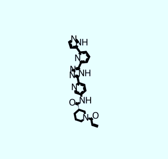 C=CC(=O)N1CCC[C@H](C(=O)Nc2ccc(-c3nnc(-c4cccc(-c5ccn[nH]5)n4)[nH]3)nc2)C1